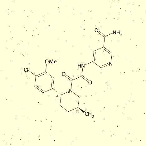 COc1cc([C@H]2CC[C@H](C)CN2C(=O)C(=O)Nc2cncc(C(N)=O)c2)ccc1Cl